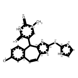 Cn1cc(C2c3ccc(Cl)cc3C=Cc3sc(Sc4ncc[nH]4)nc32)c(=S)[nH]c1=O